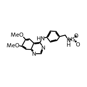 COc1cc2ncnc(Nc3ccc(CN[SH](=O)=O)cc3)c2cc1OC